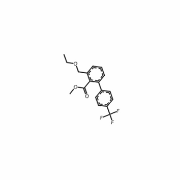 CCOCc1cccc(-c2ccc(C(F)(F)F)cc2)c1C(=O)OC